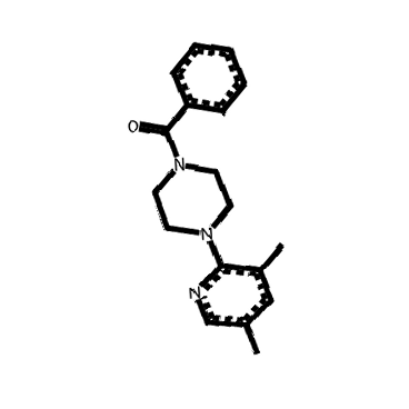 Cc1cnc(N2CCN(C(=O)c3[c]cccc3)CC2)c(C)c1